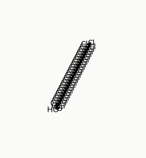 O=S(=O)(O)C(Cl)(Cl)C(Cl)(Cl)C(Cl)(Cl)C(Cl)(Cl)C(Cl)(Cl)C(Cl)(Cl)C(Cl)(Cl)C(Cl)(Cl)C(Cl)(Cl)C(Cl)(Cl)C(Cl)(Cl)C(Cl)(Cl)C(Cl)(Cl)C(Cl)(Cl)C(Cl)(Cl)C(Cl)(Cl)C(Cl)(Cl)C(Cl)(Cl)C(Cl)(Cl)C(Cl)(Cl)C(Cl)(Cl)C(Cl)(Cl)C(Cl)(Cl)C(Cl)(Cl)Cl